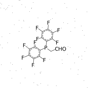 O=CCP(c1c(F)c(F)c(F)c(F)c1F)c1c(F)c(F)c(F)c(F)c1F